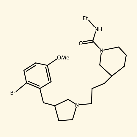 CCNC(=O)N1CCCC(CCCN2CCC(Cc3cc(OC)ccc3Br)C2)C1